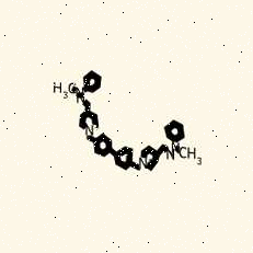 CN(/N=C/c1cc[n+](Cc2ccc(-c3ccc(C[n+]4ccc(/C=N/N(C)c5ccccc5)cc4)cc3)cc2)cc1)c1ccccc1